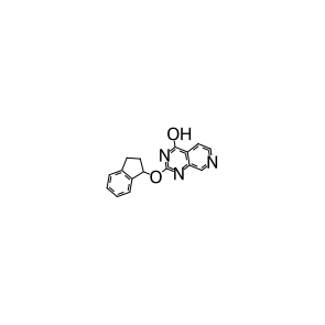 Oc1nc(OC2CCc3ccccc32)nc2cnccc12